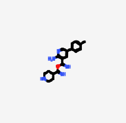 Cc1ccc(-c2cnc(N)c(C(=N)OC(=N)C3CCNCC3)c2)cc1